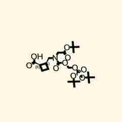 CC(C)(C)OC(=O)CN(C[C@H]1CC[C@H]1C(=O)O)C(=O)OCOP(=O)(OC(C)(C)C)OC(C)(C)C